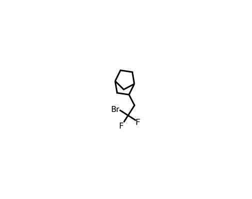 FC(F)(Br)CC1CC2CCC1C2